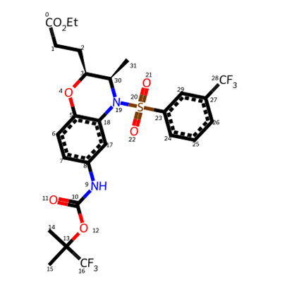 CCOC(=O)CC[C@@H]1Oc2ccc(NC(=O)OC(C)(C)C(F)(F)F)cc2N(S(=O)(=O)c2cccc(C(F)(F)F)c2)[C@@H]1C